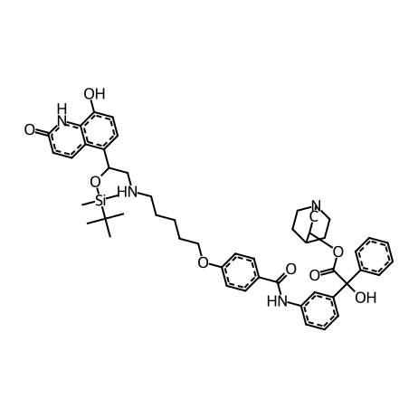 CC(C)(C)[Si](C)(C)OC(CNCCCCCOc1ccc(C(=O)Nc2cccc(C(O)(C(=O)OC3CN4CCC3CC4)c3ccccc3)c2)cc1)c1ccc(O)c2[nH]c(=O)ccc12